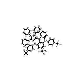 CC(C)(C)c1ccc(N2c3ccccc3B3c4c2cc(C(C)(C)C)cc4N(c2ccc(C(C)(C)C)cc2)c2c(-c4ccccc4)c(-c4ccccc4)n(-c4ccccc4)c23)cc1